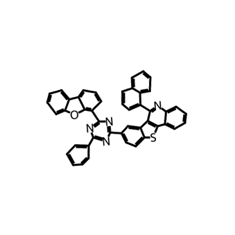 c1ccc(-c2nc(-c3ccc4sc5c6ccccc6nc(-c6cccc7ccccc67)c5c4c3)nc(-c3cccc4c3oc3ccccc34)n2)cc1